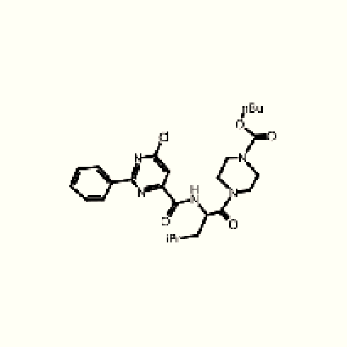 CCCCOC(=O)N1CCN(C(=O)C(CC(C)C)NC(=O)c2cc(Cl)nc(-c3ccccc3)n2)CC1